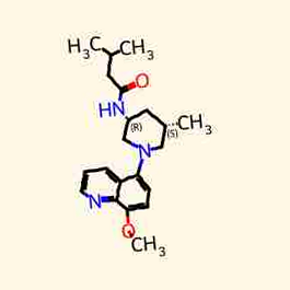 COc1ccc(N2C[C@@H](C)C[C@@H](NC(=O)CC(C)C)C2)c2cccnc12